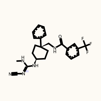 CN/C(=N\C#N)N[C@H]1CC[C@](CNC(=O)c2cccc(C(F)(F)F)c2)(c2ccccc2)CC1